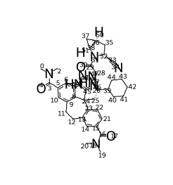 CN(C)C(=O)c1ccc2c(c1)CCc1cc(C(=O)N(C)C)ccc1C2(C[C@H](NCC(=O)N1[C@H](C#N)C[C@@H]2C[C@@H]21)C1CCCCC1)c1nnn[nH]1